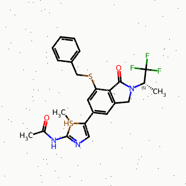 CC(=O)NC1=NC=C(c2cc3c(c(SCc4ccccc4)c2)C(=O)N([C@@H](C)C(F)(F)F)C3)[SH]1C